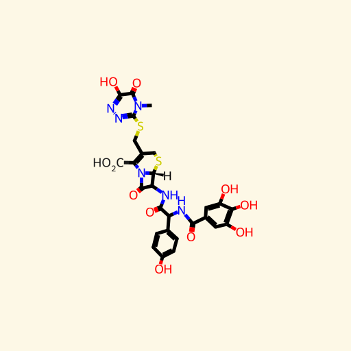 Cn1c(SCC2=C(C(=O)O)N3C(=O)C(NC(=O)C(NC(=O)c4cc(O)c(O)c(O)c4)c4ccc(O)cc4)[C@H]3SC2)nnc(O)c1=O